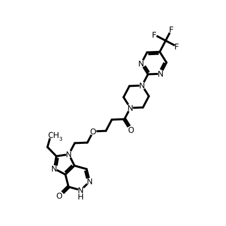 CCc1nc2c(=O)[nH]ncc2n1CCOCCC(=O)N1CCN(c2ncc(C(F)(F)F)cn2)CC1